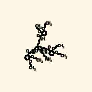 C=CCOc1cccc(C(=O)NCCCC(CCCNC(=O)c2cccc(OCC=C)c2OCC=C)(CCCNC(=O)c2cccc(OCC=C)c2OCC=C)C(=O)NCCCCN)c1OCC=C